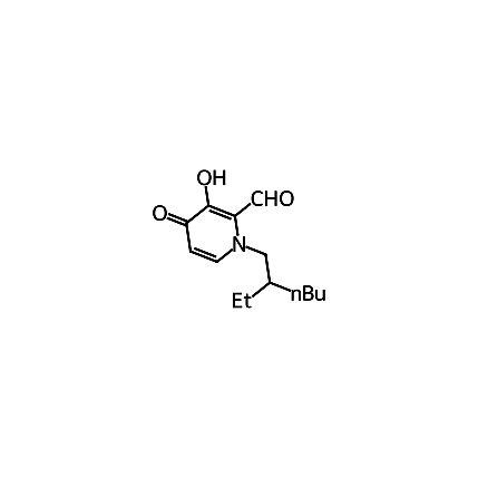 CCCCC(CC)Cn1ccc(=O)c(O)c1C=O